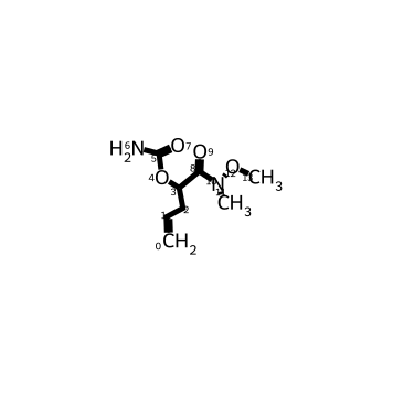 C=CCC(OC(N)=O)C(=O)N(C)OC